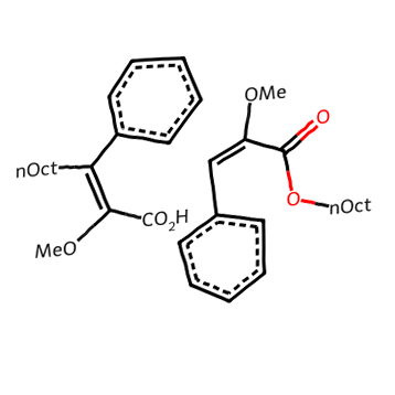 CCCCCCCCC(=C(OC)C(=O)O)c1ccccc1.CCCCCCCCOC(=O)C(=Cc1ccccc1)OC